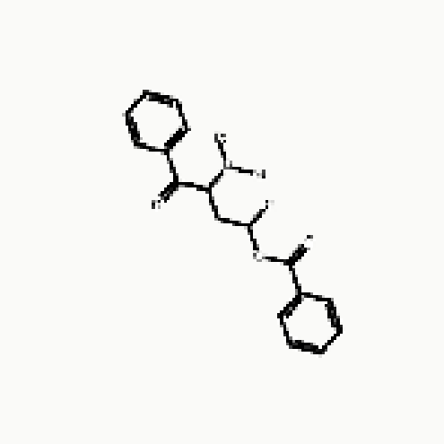 CCN(CC)C(CC(Cl)OC(=O)c1ccccc1)C(=O)c1ccccc1